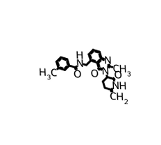 C=C1CCC(n2c(C)nc3cccc(CNC(=O)c4cccc(C)c4)c3c2=O)C(=O)N1